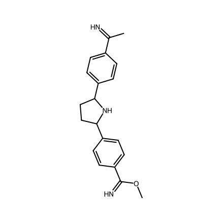 COC(=N)c1ccc(C2CCC(c3ccc(C(C)=N)cc3)N2)cc1